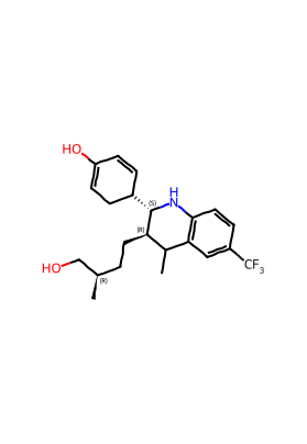 CC1c2cc(C(F)(F)F)ccc2N[C@@H](C2C=CC(O)=CC2)[C@@H]1CC[C@@H](C)CO